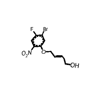 O=[N+]([O-])c1cc(F)c(Br)cc1OCC=CCO